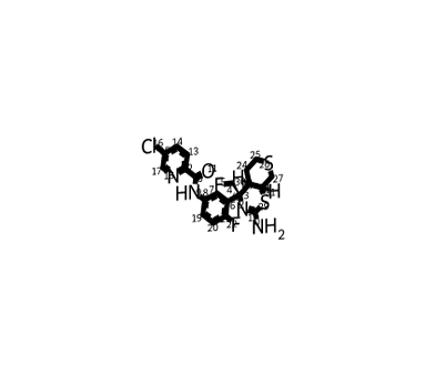 NC1=N[C@](CF)(c2cc(NC(=O)c3ccc(Cl)cn3)ccc2F)[C@H]2CCSC[C@@H]2S1